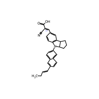 CCC=Cc1ccc2cc(N3c4ccc(/C=C(\C#N)C(=O)O)cc4C4CCCC43)ccc2c1